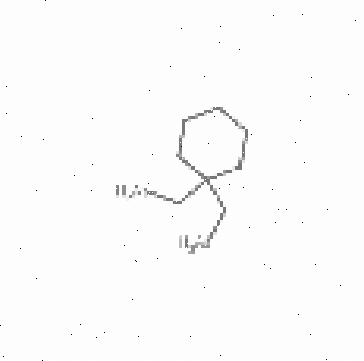 [AsH2]CC1(C[AsH2])CCCCC1